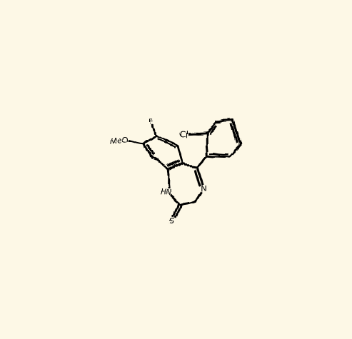 COc1cc2c(cc1F)C(c1ccccc1Cl)=NCC(=S)N2